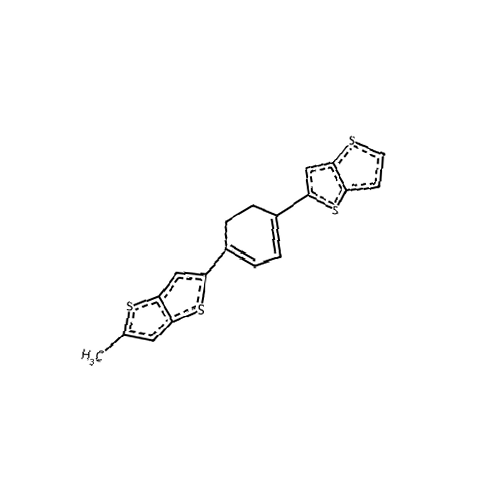 Cc1cc2sc(C3=CC=C(c4cc5sccc5s4)CC3)cc2s1